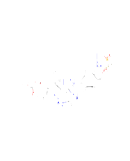 COC(=O)Oc1cn2ncnc(Nc3cccc(NS(C)(=O)=O)c3)c2c1C